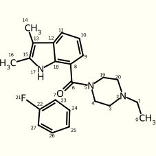 CCN1CCN(C(=O)c2cccc3c(C)c(C)[nH]c23)CC1.Fc1ccccc1